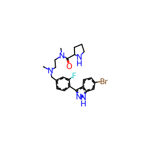 CN(CCN(C)C(=O)C1CCCN1)Cc1ccc(-c2n[nH]c3cc(Br)ccc23)c(F)c1